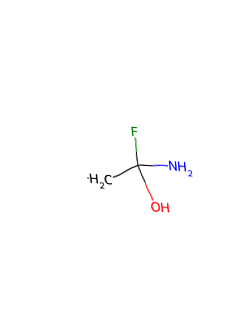 [CH2]C(N)(O)F